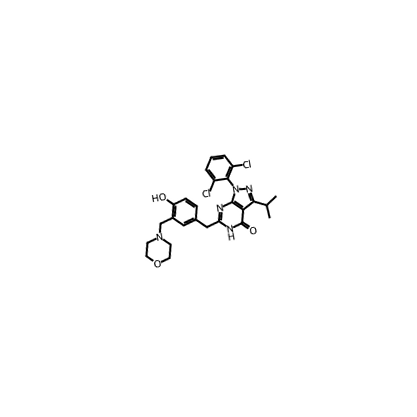 CC(C)c1nn(-c2c(Cl)cccc2Cl)c2nc(Cc3ccc(O)c(CN4CCOCC4)c3)[nH]c(=O)c12